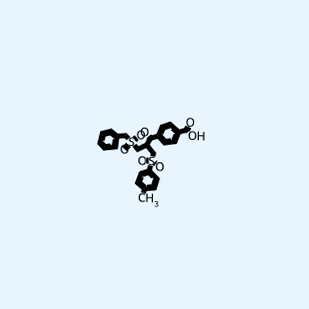 Cc1ccc(S(=O)(=O)CC(CS(=O)(=O)Cc2ccccc2)C(=O)c2ccc(C(=O)O)cc2)cc1